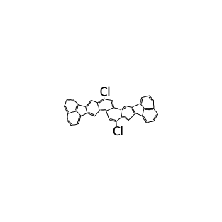 Clc1cc2c3cc4c(cc3c(Cl)cc2c2cc3c(cc12)-c1cccc2cccc-3c12)-c1cccc2cccc-4c12